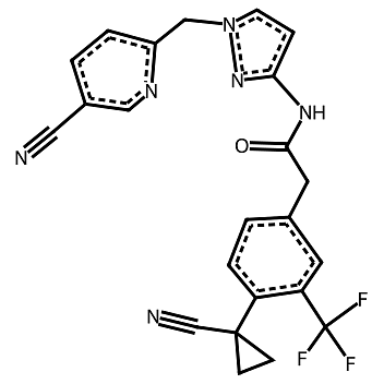 N#Cc1ccc(Cn2ccc(NC(=O)Cc3ccc(C4(C#N)CC4)c(C(F)(F)F)c3)n2)nc1